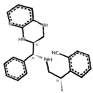 C[C@H](CN[C@H](c1ccccc1)[C@@H]1CNc2cccnc2N1)c1ccccc1C#N